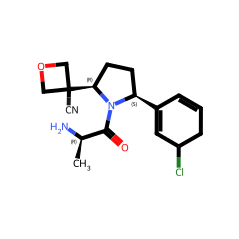 C[C@@H](N)C(=O)N1[C@H](C2=CC(Cl)CC=C2)CC[C@@H]1C1(C#N)COC1